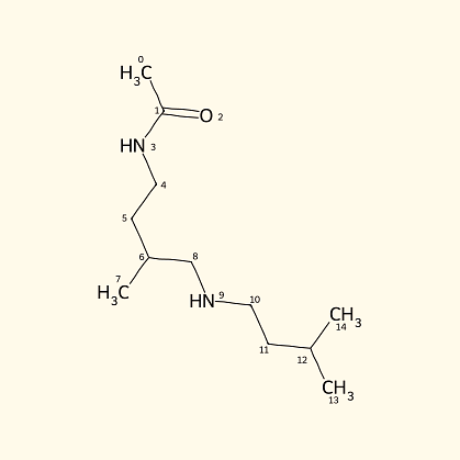 CC(=O)NCCC(C)CNCCC(C)C